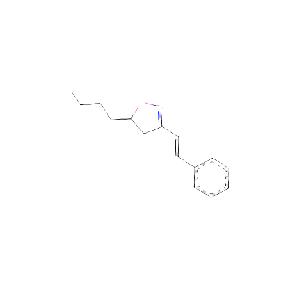 O=CCCCC1CC(C=Cc2ccccc2)=NO1